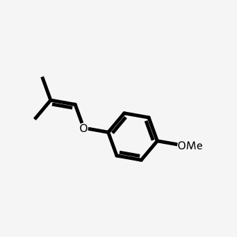 COc1ccc(OC=C(C)C)cc1